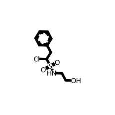 O=S(=O)(NCCO)C(Cl)Cc1ccccc1